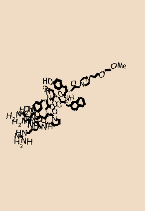 COCCOCCCN1CCN(CC(=O)C[C@@H](Cc2ccc(O)cc2)C(=O)N[C@@H](Cc2ccc3ccccc3c2)C(=O)C[C@@H](CC(C)C)C(=O)N[C@@H](Cc2ccccc2)C(=O)C[C@@H](CCCNC(=N)N)C(=O)N2CCC[C@H]2C(=O)N[C@@H](CCCNC(=N)N)C(=O)N[C@@H](CC(N)=O)C(N)=O)CC1